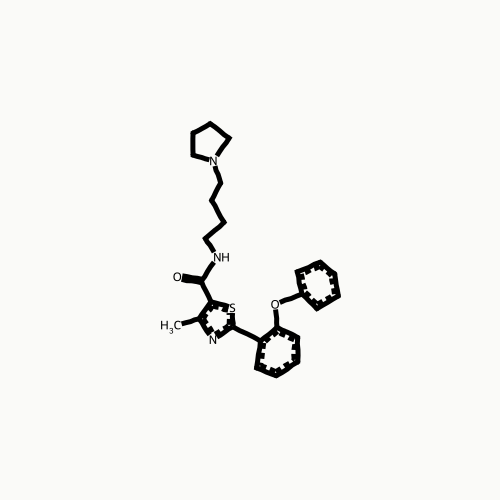 Cc1nc(-c2ccccc2Oc2ccccc2)sc1C(=O)NCCCCN1CCCC1